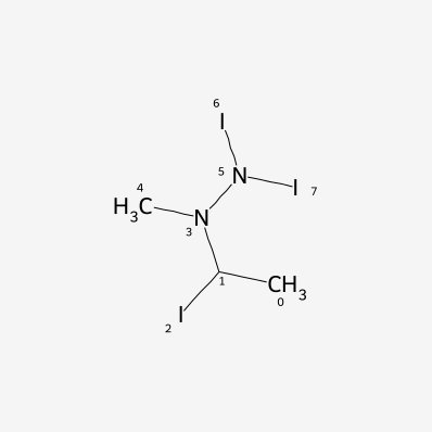 CC(I)N(C)N(I)I